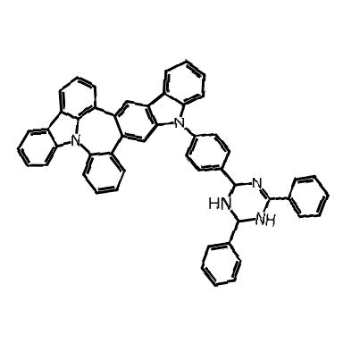 c1ccc(C2=NC(c3ccc(-n4c5ccccc5c5cc6c(cc54)-c4ccccc4-n4c5ccccc5c5cccc-6c54)cc3)NC(c3ccccc3)N2)cc1